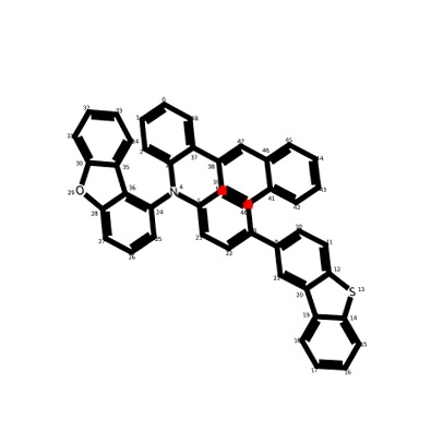 c1ccc(N(c2ccc(-c3ccc4sc5ccccc5c4c3)cc2)c2cccc3oc4ccccc4c23)c(-c2ccc3ccccc3c2)c1